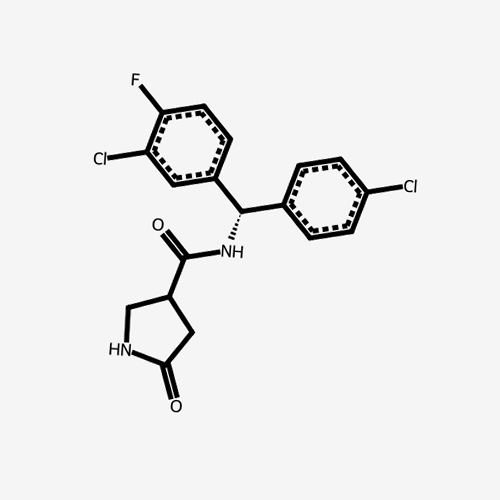 O=C1CC(C(=O)N[C@@H](c2ccc(Cl)cc2)c2ccc(F)c(Cl)c2)CN1